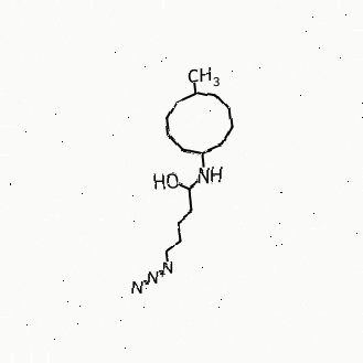 CC1CCCCC(NC(O)CCCCN=[N+]=[N-])CCCC1